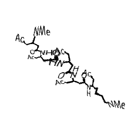 CNCCCCC(CC(C)=O)NC(=O)CC(CC(C)=O)NC(=O)CC(CC(C)=O)NC(=O)CC(CC(C)=O)NC(=O)CC(CC(C)=O)NC